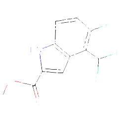 COC(=O)c1cc2c(C(F)F)c(F)ccc2[nH]1